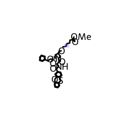 COC(=O)CC/C=C/COCC1C[C@@H](C(=O)OCc2ccccc2)N(C(=O)CNC(=O)c2ccc3c(c2)Oc2ccccc2S3)C1